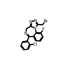 Fc1cccc2c1-n1c(CBr)nnc1CN=C2c1ccccc1Cl